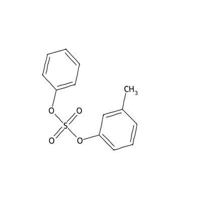 Cc1cccc(OS(=O)(=O)Oc2ccccc2)c1